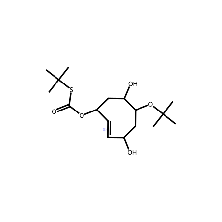 CC(C)(C)OC1CC(O)/C=C/C(OC(=O)SC(C)(C)C)CC1O